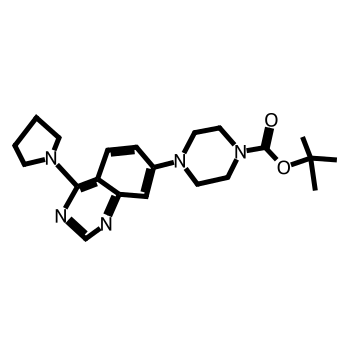 CC(C)(C)OC(=O)N1CCN(c2ccc3c(N4CCCC4)ncnc3c2)CC1